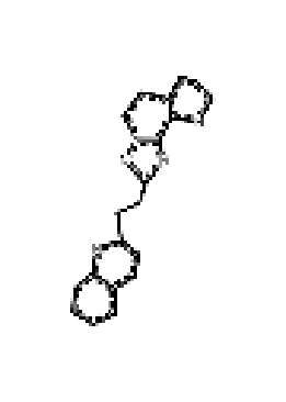 c1ccc2nc(CCc3nc4c5ncccc5ccn4n3)ccc2c1